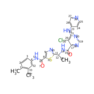 Cc1ccc(NC(=O)c2cnc(C(C)NC(=O)c3ncnc(Nc4ccncc4)c3Cl)s2)cc1C(F)(F)F